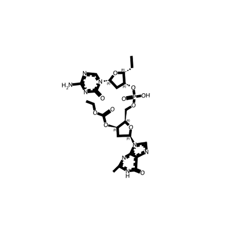 CCOC(=O)O[C@@H]1C[C@H](n2cnc3c(=O)[nH]c(C)nc32)O[C@@H]1COP(=O)(O)O[C@@H]1C[C@H](n2cnc(N)nc2=O)O[C@@H]1CC